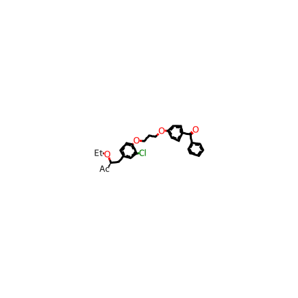 CCO[C@@H](Cc1ccc(OCCCOc2ccc(C(=O)c3ccccc3)cc2)c(Cl)c1)C(C)=O